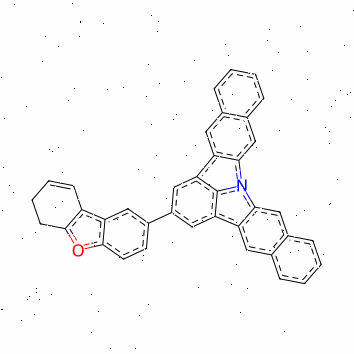 C1=Cc2c(oc3ccc(-c4cc5c6cc7ccccc7cc6n6c7cc8ccccc8cc7c(c4)c56)cc23)CC1